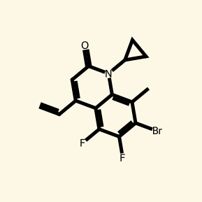 C=Cc1cc(=O)n(C2CC2)c2c(C)c(Br)c(F)c(F)c12